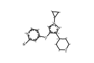 Brc1cc(Oc2cn(C3CC3)nc2C2CCOCC2)ccn1